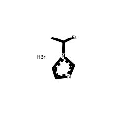 Br.CCC(C)n1ccnc1